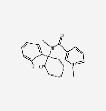 CN(C(=O)c1ccc[n+](C)c1)[C@]1(c2ccccc2Cl)CCCCC1=O